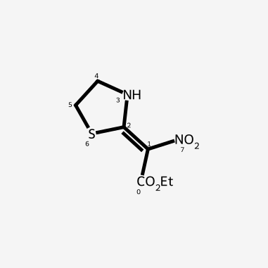 CCOC(=O)/C(=C1/NCCS1)[N+](=O)[O-]